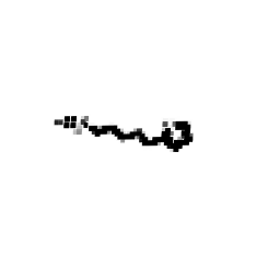 O=C(O)CCCCCc1ccco1